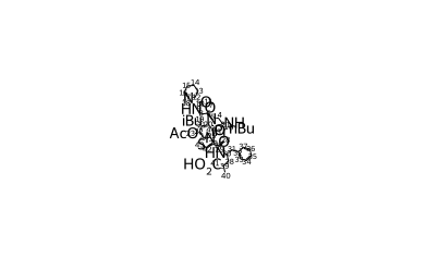 CCCCNC(=O)CN(C(=O)[C@@H](NC(=O)[C@H]1CCCCN1C)[C@@H](C)CC)[C@H](C[C@@H](OC(C)=O)c1nc(C(=O)N[C@@H](Cc2ccccc2)C[C@H](C)C(=O)O)cs1)C(C)C